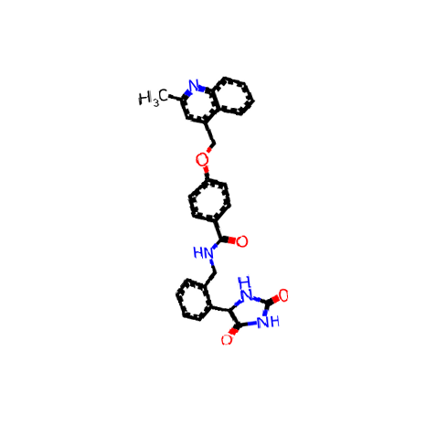 Cc1cc(COc2ccc(C(=O)NCc3ccccc3C3NC(=O)NC3=O)cc2)c2ccccc2n1